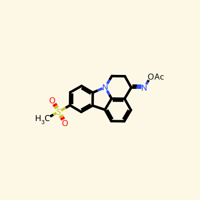 CC(=O)O/N=C1\CCn2c3ccc(S(C)(=O)=O)cc3c3cccc1c32